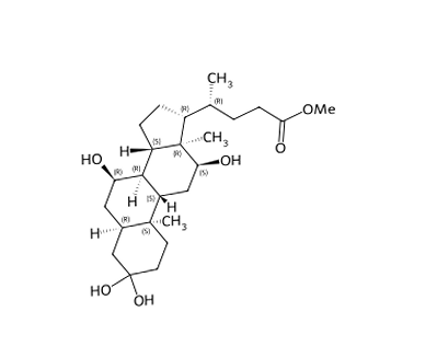 COC(=O)CC[C@@H](C)[C@H]1CC[C@H]2[C@@H]3[C@H](O)C[C@@H]4CC(O)(O)CC[C@]4(C)[C@H]3C[C@H](O)[C@]12C